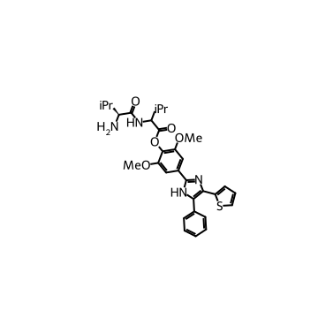 COc1cc(-c2nc(-c3cccs3)c(-c3ccccc3)[nH]2)cc(OC)c1OC(=O)C(NC(=O)[C@@H](N)C(C)C)C(C)C